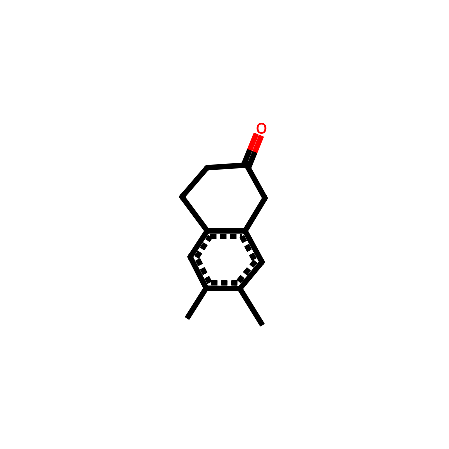 Cc1cc2c(cc1C)CC(=O)CC2